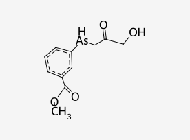 COC(=O)c1cccc([AsH]CC(=O)CO)c1